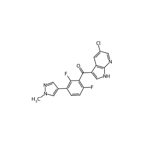 Cn1cc(-c2ccc(F)c(C(=O)c3c[nH]c4ncc(Cl)cc34)c2F)cn1